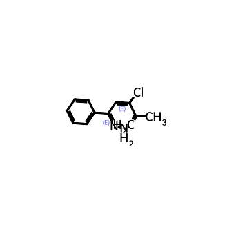 C=C(C)/C(Cl)=C\C(=N/N)c1ccccc1